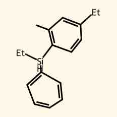 CCc1ccc([SiH](CC)c2ccccc2)c(C)c1